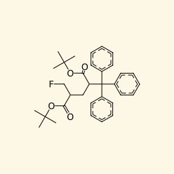 CC(C)(C)OC(=O)C(CF)CC(C(=O)OC(C)(C)C)C(c1ccccc1)(c1ccccc1)c1ccccc1